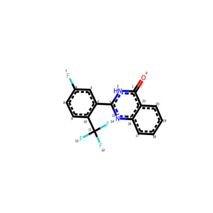 O=c1[nH]c(-c2cc(F)ccc2C(F)(F)F)nc2ccccc12